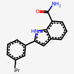 CC(C)c1cccc(-c2cc3cccc(C(N)=O)c3[nH]2)c1